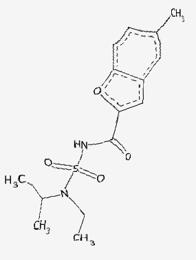 CCN(C(C)C)S(=O)(=O)NC(=O)c1cc2cc(C)ccc2o1